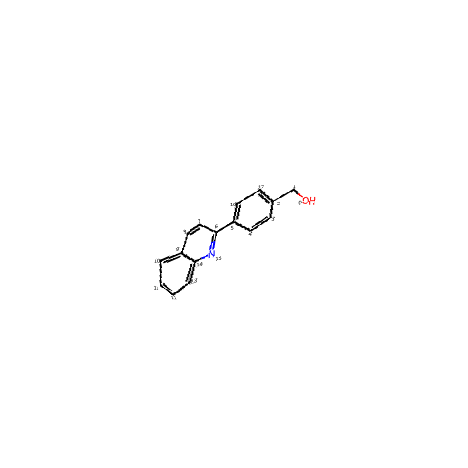 OCc1ccc(-c2ccc3ccccc3n2)cc1